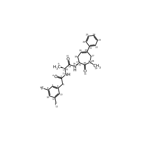 C[C@H](NC(=O)Cc1cc(F)cc(F)c1)C(=O)N[C@H]1CC=C(c2ccccc2)CN(C)C1=O